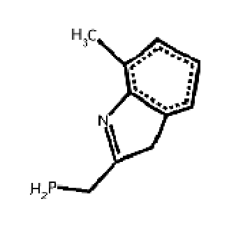 Cc1cccc2c1N=C(CP)C2